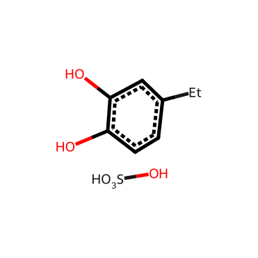 CCc1ccc(O)c(O)c1.O=S(=O)(O)O